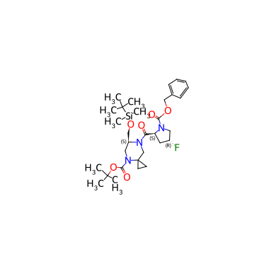 CC(C)(C)OC(=O)N1C[C@@H](CO[Si](C)(C)C(C)(C)C)N(C(=O)[C@@H]2C[C@@H](F)CN2C(=O)OCc2ccccc2)CC12CC2